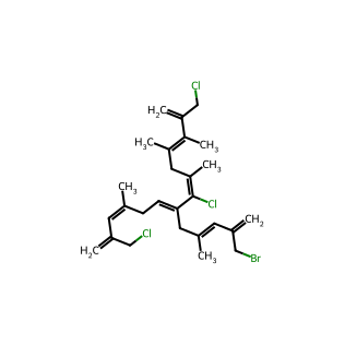 C=C(C=C(C)CC=C(CC(C)=CC(=C)CBr)C(Cl)=C(C)CC(C)=C(C)C(=C)CCl)CCl